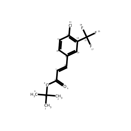 CC(C)(C)OC(=O)C=Cc1ccc(Cl)c(C(F)(F)F)c1